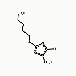 Cc1nc(SCCCCC(=O)O)sc1C(=O)O